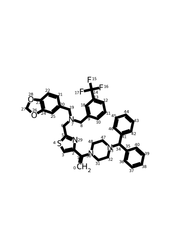 C=C(c1csc(CN(Cc2cccc(C(F)(F)F)c2)Cc2ccc3c(c2)OCO3)n1)N1CCN(C(c2ccccc2)c2ccccc2)CC1